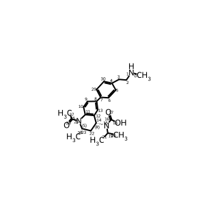 CNCCc1ccc(-c2ccc3c(c2)[C@H](N(C(=O)O)C(C)C)C[C@H](C)N3C(C)=O)cc1